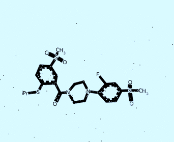 CC(C)Sc1ccc(S(C)(=O)=O)cc1C(=O)N1CCN(c2ccc(S(C)(=O)=O)cc2F)CC1